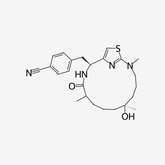 CC1CCC[C@](C)(O)CCCN(C)c2nc(cs2)[C@H](Cc2ccc(C#N)cc2)NC1=O